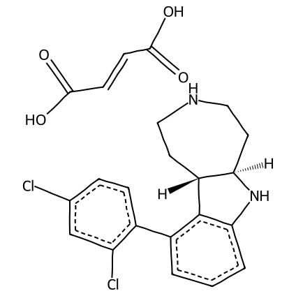 Clc1ccc(-c2cccc3c2[C@@H]2CCNCC[C@H]2N3)c(Cl)c1.O=C(O)C=CC(=O)O